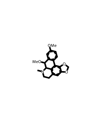 COc1ccc2c(c1)C(OC)C1c3c(cc4c(c3-2)OCO4)CCN1C